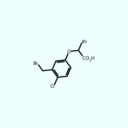 CC(C)C(Oc1ccc(Cl)c(CBr)c1)C(=O)O